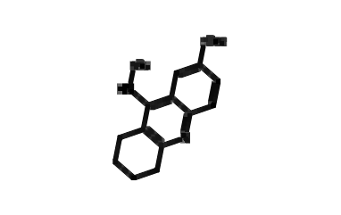 CCCCCCCCCCc1ccc2nc3c(c(NCCCC)c2c1)CCCC3